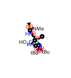 CNCc1cc(NC(=O)C[C@@H](C)c2cc(C(Nc3ccc4c(N(C(=O)OC(C)(C)C)C(=O)OC(C)(C)C)ncc(F)c4c3)C(=O)O)ccc2OCc2ccccc2)ccc1S(=O)(=O)C1CC1